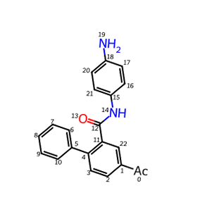 CC(=O)c1ccc(-c2ccccc2)c(C(=O)Nc2ccc(N)cc2)c1